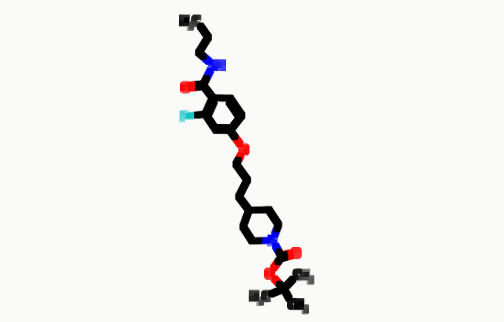 CCCNC(=O)c1ccc(OCCCC2CCN(C(=O)OC(C)(C)C)CC2)cc1F